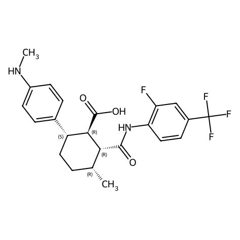 CNc1ccc([C@H]2CC[C@@H](C)[C@@H](C(=O)Nc3ccc(C(F)(F)F)cc3F)[C@@H]2C(=O)O)cc1